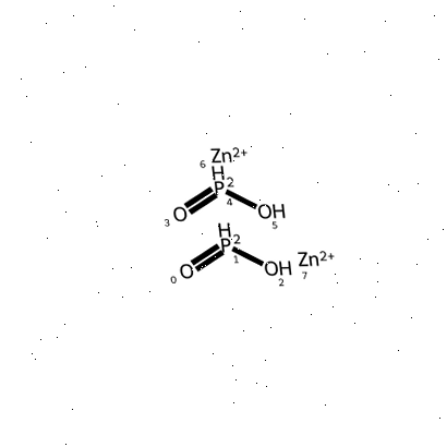 O=[PH2]O.O=[PH2]O.[Zn+2].[Zn+2]